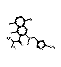 Cc1cc(C[S+]([O-])c2nc3c(Br)ccc(Cl)c3c(Cl)c2C(=O)C(C)C)no1